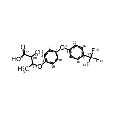 CC(Oc1ccc(Oc2ccc(C(F)(F)F)cc2)cc1)C(C)C(=O)O